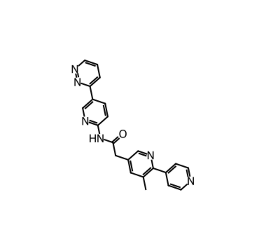 Cc1cc(CC(=O)Nc2ccc(-c3cccnn3)cn2)cnc1-c1ccncc1